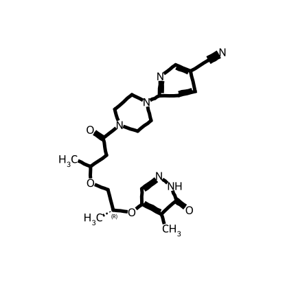 Cc1c(O[C@H](C)COC(C)CC(=O)N2CCN(c3ccc(C#N)cn3)CC2)cn[nH]c1=O